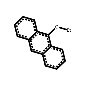 CCOc1c2ccc[c]c2cc2ccccc12